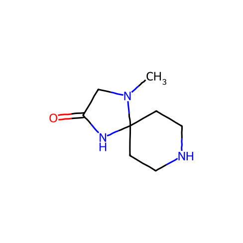 CN1CC(=O)NC12CCNCC2